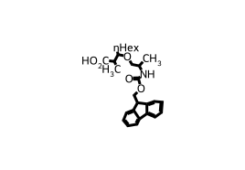 CCCCCCC(OCC(C)NC(=O)OCC1c2ccccc2-c2ccccc21)C(C)C(=O)O